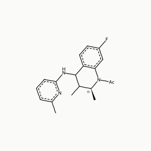 CC(=O)N1c2cc(F)ccc2C(Nc2cccc(C)n2)C(C)[C@@H]1C